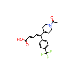 CC(=O)N1CC=C(C(=CC=CC(=O)O)c2ccc(C(F)(F)F)cc2)CC1